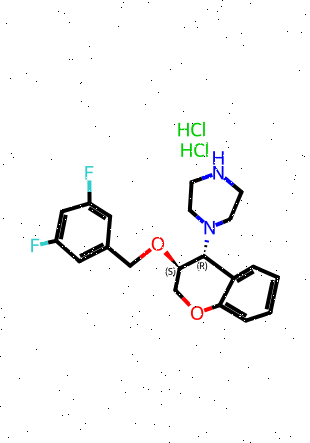 Cl.Cl.Fc1cc(F)cc(CO[C@@H]2COc3ccccc3[C@H]2N2CCNCC2)c1